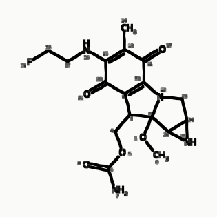 COC12C(COC(N)=O)C3=C(C(=O)C(C)=C(NCCF)C3=O)N1CC1NC12